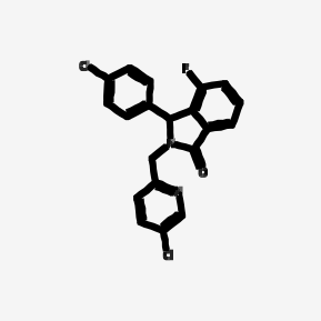 O=C1c2cccc(F)c2C(c2ccc(Cl)cc2)N1Cc1ccc(Cl)cn1